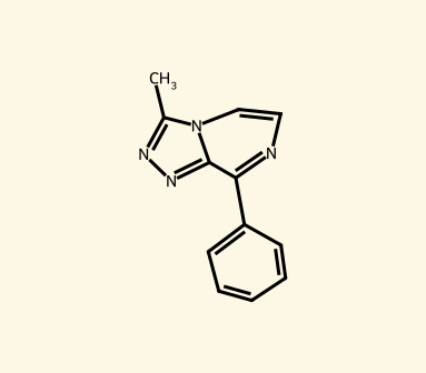 Cc1nnc2c(-c3ccccc3)nccn12